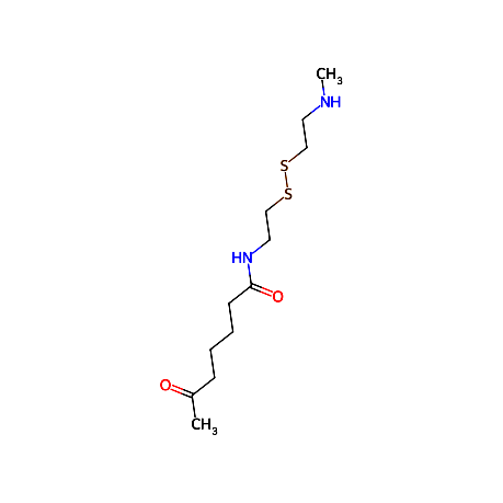 CNCCSSCCNC(=O)CCCCC(C)=O